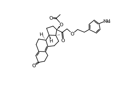 CNc1ccc(CCOCC(=O)[C@@]2(OC(C)=O)CC[C@H]3[C@@H]4CCC5=CC(=O)CCC5=C4CC[C@@]32C)cc1